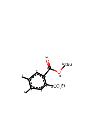 CCOC(=O)c1cc(C)c(C)cc1C(=O)OC(C)(C)C